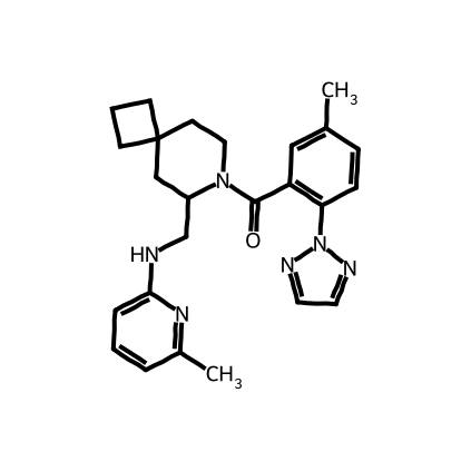 Cc1ccc(-n2nccn2)c(C(=O)N2CCC3(CCC3)CC2CNc2cccc(C)n2)c1